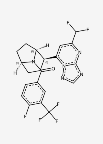 O=C(c1ccc(F)c(C(F)(F)F)c1)N1[C@H]2CC[C@H](c3cc(C(F)F)nc4ncnn34)[C@@H]1CC2